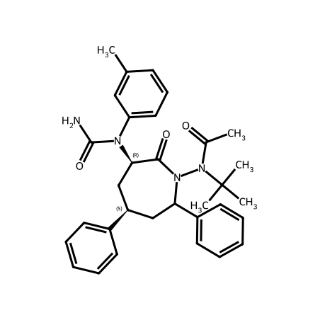 CC(=O)N(N1C(=O)[C@H](N(C(N)=O)c2cccc(C)c2)C[C@H](c2ccccc2)CC1c1ccccc1)C(C)(C)C